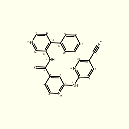 N#Cc1ccc(Nc2cc(C(=O)Nc3cnccc3-c3ccccc3)ccn2)nc1